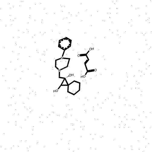 O=C(O)/C=C/C(=O)O.OC1C2(CCCCC2)[C@]1(O)CN1CCN(c2ccccc2)CC1